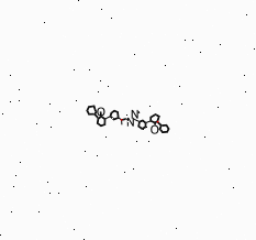 C=N/C(=N\C=C(/C)c1cccc(-c2cccc3c2oc2ccccc23)c1)c1cccc(-c2cccc3c2oc2ccccc23)c1